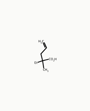 C=CCC(C)(CC)C(=O)O